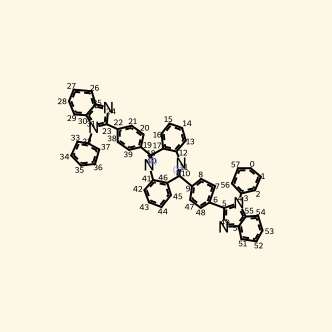 c1ccc(-n2c(-c3ccc(/C4=N/c5ccccc5/C(c5ccc(-c6nc7ccccc7n6-c6ccccc6)cc5)=N\c5ccccc54)cc3)nc3ccccc32)cc1